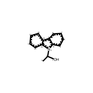 CC(O)n1c2ccccc2c2ccccc21